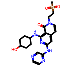 CS(=O)(=O)CCn1ccc2cc(Nc3cnccn3)nc(NC3CCC(O)CC3)c2c1=O